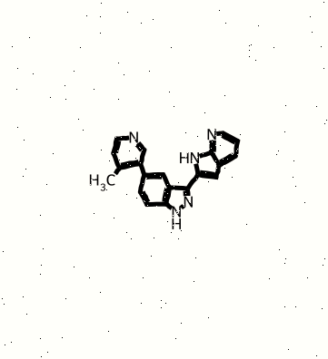 Cc1ccncc1-c1ccc2[nH]nc(-c3cc4cccnc4[nH]3)c2c1